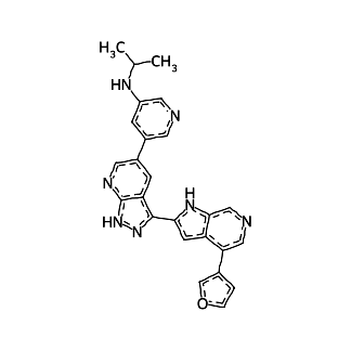 CC(C)Nc1cncc(-c2cnc3[nH]nc(-c4cc5c(-c6ccoc6)cncc5[nH]4)c3c2)c1